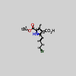 Cc1c(C(=O)OC(C)(C)C)[nH]c(/C=C/CCBr)c1C(=O)O